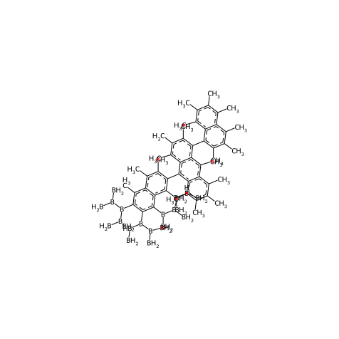 BBB(B(B)B)c1c(B(B(B)B)B(B)B)c(C)c2c(C)c(C)c(-c3c4c(C)c(C)c(C)c(C)c4c(C)c4c(-c5c(C)c(C)c(C)c6c(C)c(C)c(C)c(C)c56)c(C)c(C)c(C)c34)c(B(B)BB)c2c1B(B)B(B)B